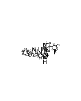 Cc1cc(F)cc(-c2ccnc3[nH]c(-c4n[nH]c5ccc(-c6cncc(OC7CCCCC7)c6)nc45)nc23)c1